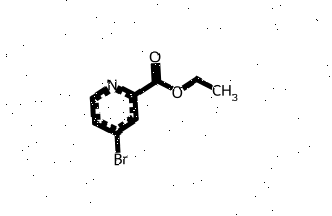 CCOC(=O)c1cc(Br)ccn1